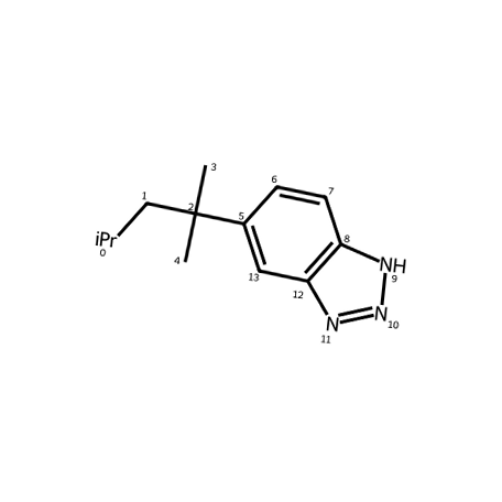 CC(C)CC(C)(C)c1ccc2[nH]nnc2c1